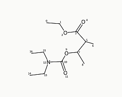 CCOC(=O)C(C)C(C)OC(=O)N(CC)CC